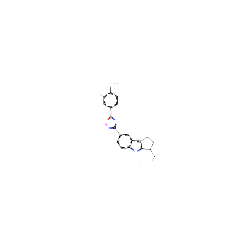 COc1ccc(-c2nc(-c3ccc4[nH]c5c(c4c3)CCC5CC(=O)O)no2)cc1F